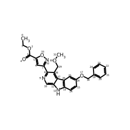 CCOC(=O)c1cc(-c2ncc3[nH]c4ccc(OCc5ccccc5)cc4c3c2COC)no1